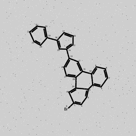 Brc1ccc2c3ccccc3c3cc(-c4cccc(-c5ccccc5)c4)ccc3c2c1